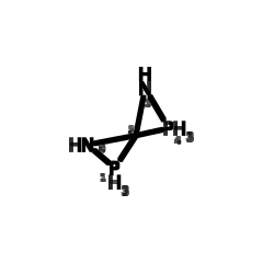 N1[PH3]C12N[PH3]2